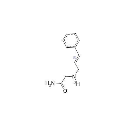 [2H]N(C/C=C/c1ccccc1)CC(N)=O